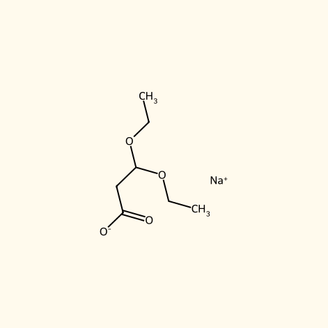 CCOC(CC(=O)[O-])OCC.[Na+]